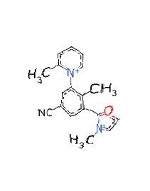 Cc1c(-c2occ[n+]2C)cc(C#N)cc1-[n+]1ccccc1C